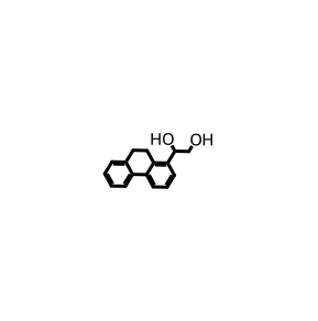 OCC(O)c1cccc2c1CCc1ccccc1-2